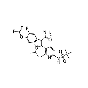 Cc1nc(NS(=O)(=O)C(C)(C)C)ccc1-c1c(C(N)=O)c2cc(F)c(OC(F)F)cc2n1C(C)C